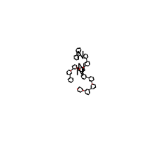 c1ccc(-c2cccc(-c3cccc(-c4cccc(-c5cccc(-c6cc(-c7cccc(-c8cccc(-n9c%10ccccc%10c%10ccccc%109)c8)c7)nc(-c7cccc(-c8cccc(-c9ccccc9)c8)c7)n6)c5)c4)c3)c2)cc1